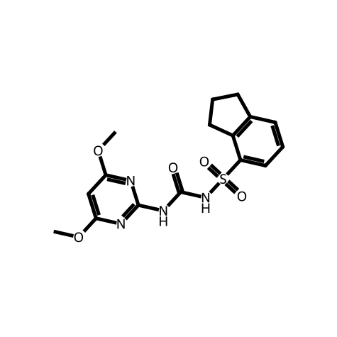 COc1cc(OC)nc(NC(=O)NS(=O)(=O)c2cccc3c2CCC3)n1